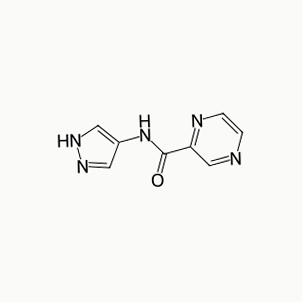 O=C(Nc1cn[nH]c1)c1cnccn1